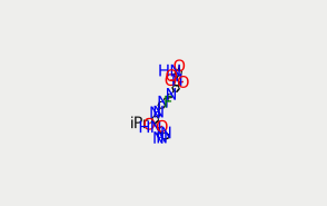 CC(C)Oc1cc2nn(C3CCN(CC4(F)CN(c5ccc6c(c5)C(=O)N(C5CCC(=O)NC5=O)C6=O)C4)CC3)cc2cc1NC(=O)c1cnn2cccnc12